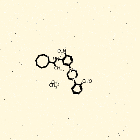 CC(Nc1cc(N2CCN(c3ccccc3C=O)CC2)ccc1[N+](=O)[O-])[C]1CCCCCCC1.[CH2].[CH2]